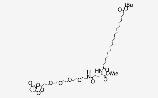 COC(=O)[C@H](CCC(=O)NCCOCCOCCOCCOCCC(=O)ON1C(=O)CCC1=O)NC(=O)CCCCCCCCCCCCCCCCCCC(=O)OC(C)(C)C